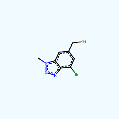 Cn1nnc2c(Br)cc(CS)cc21